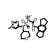 Cn1cc(N(C2CCOCC2)S(=O)(=O)[NH+]([O-])C(=O)Nc2c3c(cc4c2CCC4)CCC3)nn1